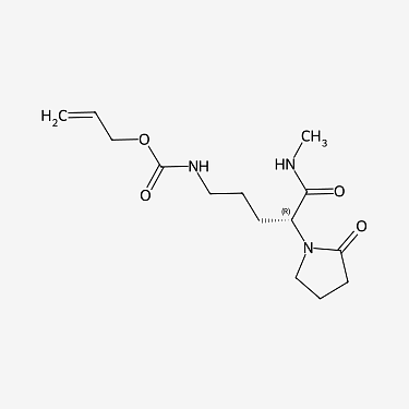 C=CCOC(=O)NCCC[C@H](C(=O)NC)N1CCCC1=O